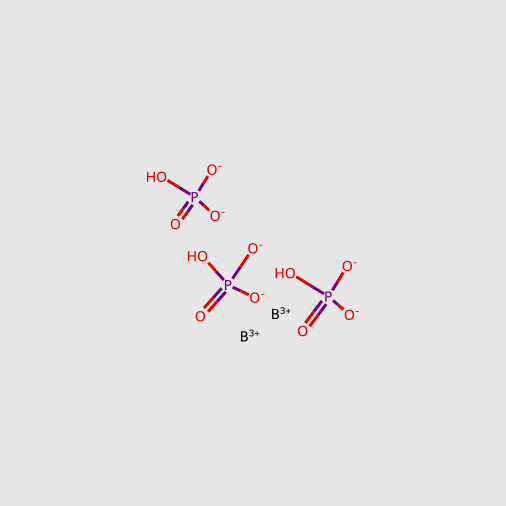 O=P([O-])([O-])O.O=P([O-])([O-])O.O=P([O-])([O-])O.[B+3].[B+3]